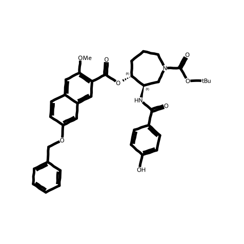 COc1cc2ccc(OCc3ccccc3)cc2cc1C(=O)O[C@@H]1CCCN(C(=O)OC(C)(C)C)C[C@H]1NC(=O)c1ccc(O)cc1